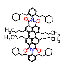 CCCCc1cc2c3c(cc(CCCC)c4c5c(CCCC)cc6c7c(cc(CCCC)c(c1c34)c75)C(=O)N(c1c(CCC3CCCCC3)cccc1CCC1CCCCC1)C6=O)C(=O)N(c1c(CCC3CCCCC3)cccc1CCC1CCCCC1)C2=O